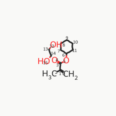 C=C(C)C(=O)OC1CCCCC1.OCCO